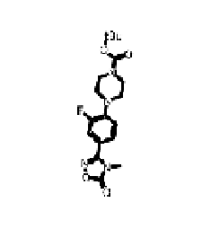 Cn1c(-c2ccc(N3CCN(C(=O)OC(C)(C)C)CC3)c(F)c2)noc1=O